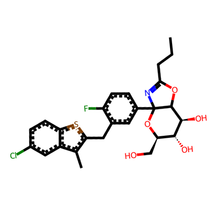 CCCC1=NC2(c3ccc(F)c(Cc4sc5ccc(Cl)cc5c4C)c3)O[C@H](CO)[C@@H](O)[C@H](O)C2O1